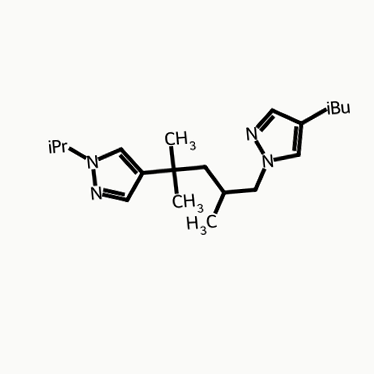 CCC(C)c1cnn(CC(C)CC(C)(C)c2cnn(C(C)C)c2)c1